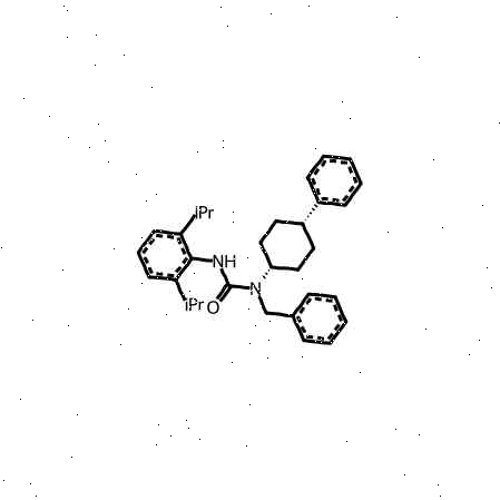 CC(C)c1cccc(C(C)C)c1NC(=O)N(Cc1ccccc1)[C@H]1CC[C@@H](c2ccccc2)CC1